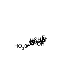 O=C(O)CCC[C@H]1CC[C@@H]2[C@@H](/C=C/[C@@H](O)COc3ccc(F)c(F)c3)[C@H](O)C[C@@H]2OC1